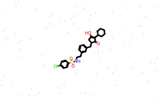 O=C1C(C2CCCCC2)=C(O)CC1Cc1cccc(CCNS(=O)(=O)c2ccc(Cl)cc2)c1